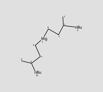 CCCCC(C)C[CH2][Mg][CH2]CC(C)CCCC